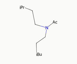 CCC(C)CCN(CCC(C)C)C(C)=O